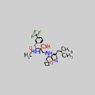 CC(=O)N[C@@H](Cc1cccc(C(F)(F)F)c1)[C@@H](O)CN[C@H]1CC2(CCC2)Oc2ncc(CC(C)C)cc21